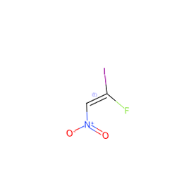 O=[N+]([O-])/C=C(\F)I